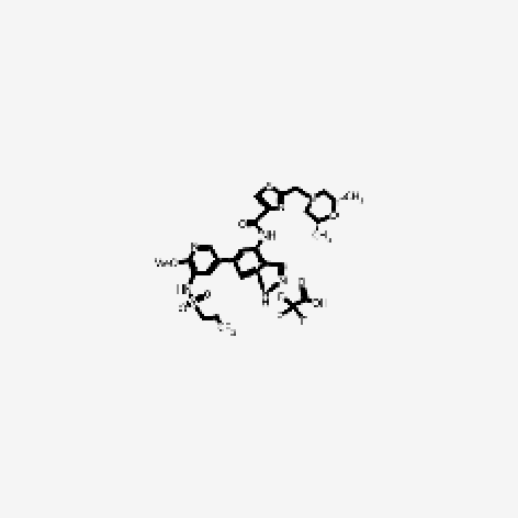 COc1ncc(-c2cc(NC(=O)c3csc(CN4C[C@@H](C)O[C@@H](C)C4)n3)c3cn[nH]c3c2)cc1NS(=O)(=O)CCC(F)(F)F.O=C(O)C(F)(F)F